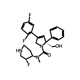 CN(C(=O)N1CC(c2cc(F)ccc2F)=C[C@@]1(CO)c1ccccc1)[C@@H]1CCNC[C@@H]1F